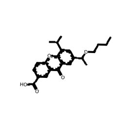 CCCCOC(C)c1cc(C(C)C)c2oc3ccc(C(=O)O)cc3c(=O)c2c1